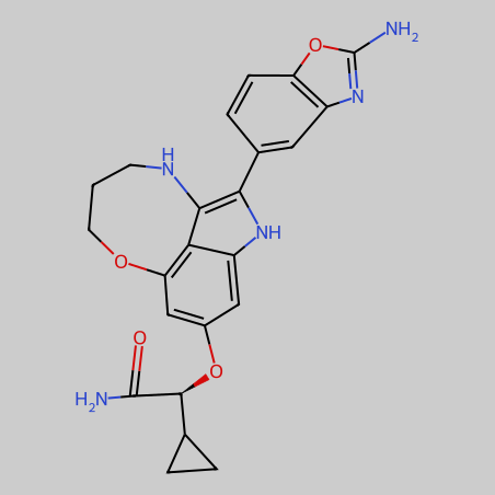 NC(=O)[C@@H](Oc1cc2c3c(c(-c4ccc5oc(N)nc5c4)[nH]c3c1)NCCCO2)C1CC1